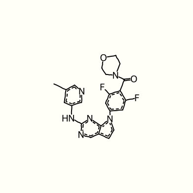 Cc1cncc(Nc2ncc3ccn(-c4cc(F)c(C(=O)N5CCOCC5)c(F)c4)c3n2)c1